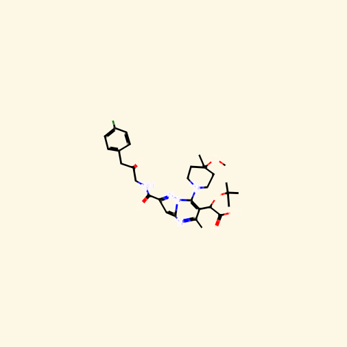 COC1(C)CCN(c2c(C(OC(C)(C)C)C(=O)O)c(C)nc3cc(C(=O)NCC(=O)Cc4ccc(F)cc4)nn23)CC1